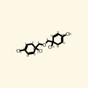 ClC1=CCC(Cl)(COCC2(Cl)C=CC(Cl)=CC2)C=C1